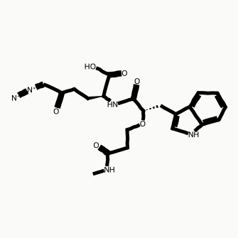 CNC(=O)CCO[C@@H](Cc1c[nH]c2ccccc12)C(=O)N[C@@H](CCC(=O)C=[N+]=[N-])C(=O)O